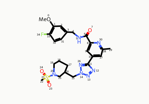 COc1cc(CNC(=O)c2cc(-c3nnn(CC4CCCN(S(C)(=O)=O)C4)n3)cc(C)n2)ccc1F